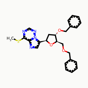 CSc1ncnn2c([C@H]3C[C@H](OCc4ccccc4)[C@@H](COCc4ccccc4)O3)cnc12